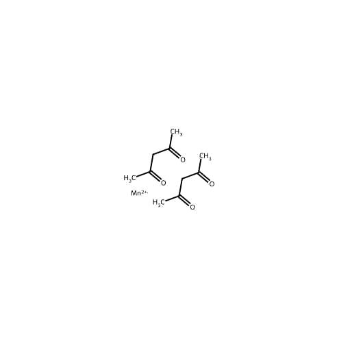 CC(=O)CC(C)=O.CC(=O)CC(C)=O.[Mn+2]